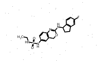 CCNS(=O)(=O)Nc1ccc2c(c1)COC(NC1CCc3cc(F)ccc31)=N2